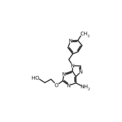 Cc1ccc(Cn2cnc3c(N)nc(OCCO)nc32)cn1